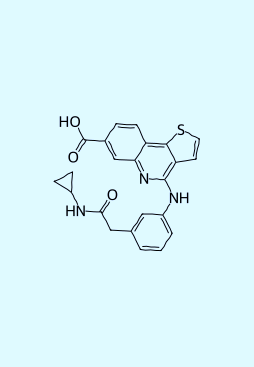 O=C(Cc1cccc(Nc2nc3cc(C(=O)O)ccc3c3sccc23)c1)NC1CC1